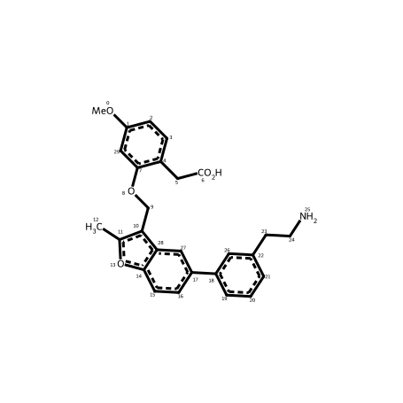 COc1ccc(CC(=O)O)c(OCc2c(C)oc3ccc(-c4cccc(CCN)c4)cc23)c1